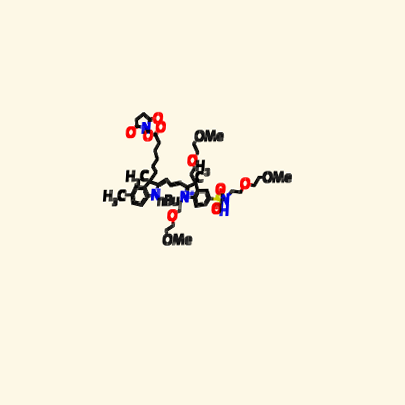 CCCCN1C(=CC=CC2=[N+](CCOCCOC)c3ccc(S(=O)(=O)NCCOCCOC)cc3C2(C)CCOCCOC)C(C)(CCCCCC(=O)ON2C(=O)CCC2=O)c2cc(C)ccc21